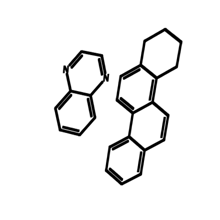 c1ccc2c(c1)ccc1c3c(ccc12)CCCC3.c1ccc2nccnc2c1